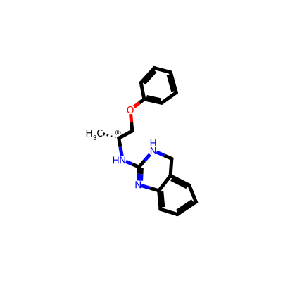 C[C@H](COc1ccccc1)NC1=Nc2ccccc2CN1